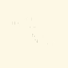 CC(C)(C)Cc1ccn(C(C)(F)F)n1